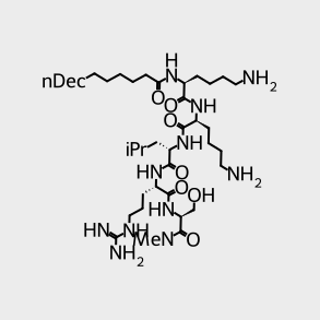 CCCCCCCCCCCCCCCC(=O)N[C@@H](CCCCN)C(=O)N[C@@H](CCCCN)C(=O)N[C@@H](CC(C)C)C(=O)N[C@@H](CCCNC(=N)N)C(=O)N[C@@H](CO)C(=O)NC